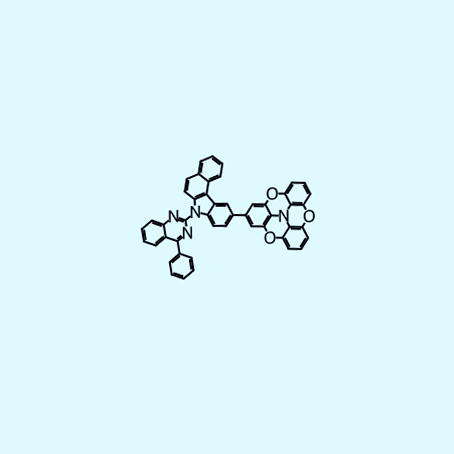 c1ccc(-c2nc(-n3c4ccc(-c5cc6c7c(c5)Oc5cccc8c5N7c5c(cccc5O6)O8)cc4c4c5ccccc5ccc43)nc3ccccc23)cc1